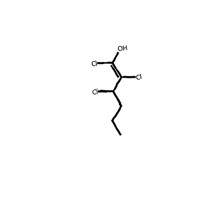 CCCC(Cl)C(Cl)=C(O)Cl